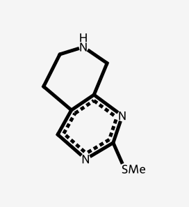 CSc1ncc2c(n1)CNCC2